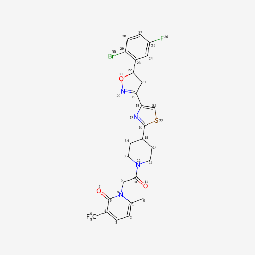 Cc1ccc(C(F)(F)F)c(=O)n1CC(=O)N1CCC(c2nc(C3=NOC(c4cc(F)ccc4Br)C3)cs2)CC1